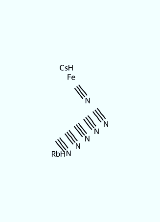 C#N.C#N.C#N.C#N.C#N.C#N.[CsH].[Fe].[RbH]